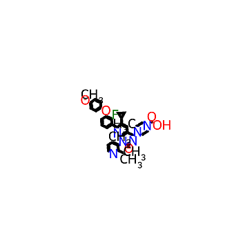 COc1ccc(Oc2cccc(-c3nc4c(cc3C3CC3)c(N3CCN(C(=O)O)C[C@@H]3C)nc(=O)n4-c3c(C)ccnc3C(C)C)c2F)cc1